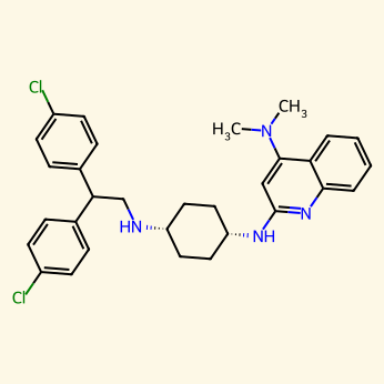 CN(C)c1cc(N[C@H]2CC[C@@H](NCC(c3ccc(Cl)cc3)c3ccc(Cl)cc3)CC2)nc2ccccc12